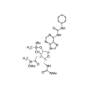 CNC(=O)NC[C@H]1O[C@@H](n2cnc3c(NC(=O)Nc4ccccc4)ncnc32)C(O[Si](C)(C)C(C)(C)C)[C@H]1CC(=O)N(C)OC